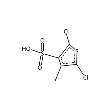 Cc1c(Cl)sc(Cl)c1S(=O)(=O)O